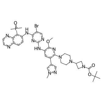 COc1nc(N2CCN(C3CN(C(=O)OC(C)(C)C)C3)CC2)c(-c2cnn(C)c2)cc1Nc1ncc(Br)c(Nc2ccc3nccnc3c2P(C)(C)=O)n1